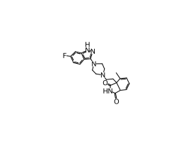 CC1=CC=CC2C(=O)NC(=O)C12CCN1CCN(c2n[nH]c3cc(F)ccc23)CC1